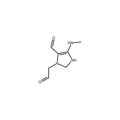 CNC1=C(C=O)N(CC=O)CN1